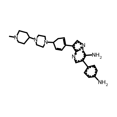 CN1CCC(N2CCN(C3C=CC(c4cnn5c(N)c(-c6ccc(N)cc6)cnc45)=CC3)CC2)CC1